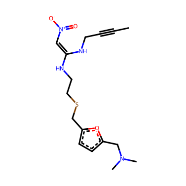 CC#CCNC(=C[N+](=O)[O-])NCCSCc1ccc(CN(C)C)o1